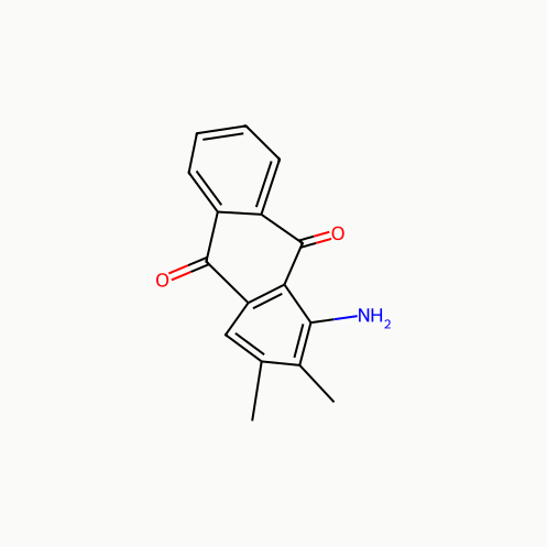 Cc1cc2c(c(N)c1C)C(=O)c1ccccc1C2=O